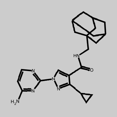 Nc1ccnc(-n2cc(C(=O)NCC34CC5CC(CC(C5)C3)C4)c(C3CC3)n2)n1